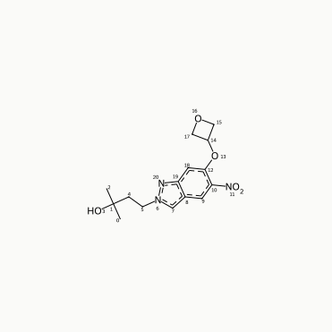 CC(C)(O)CCn1cc2cc([N+](=O)[O-])c(OC3COC3)cc2n1